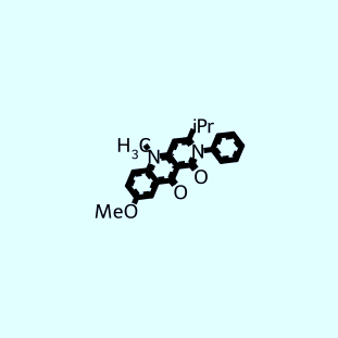 COc1ccc2c(c1)c(=O)c1c(=O)n(-c3ccccc3)c(C(C)C)cc1n2C